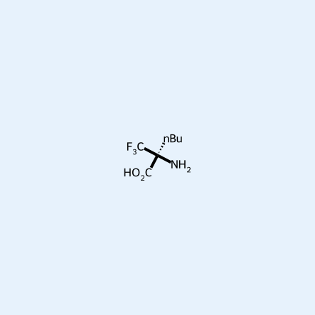 CCCC[C@](N)(C(=O)O)C(F)(F)F